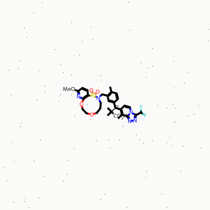 COc1ccc2c(n1)OCCOCCCN(Cc1cc([C@@H](c3ccn4c(C(F)F)nnc4c3C)C(C)(C)C(=O)O)ccc1C)S2(=O)=O